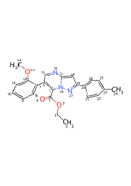 CCOC(=O)c1c(-c2ccccc2OC)cnc2cc(-c3ccc(C)cc3)nn12